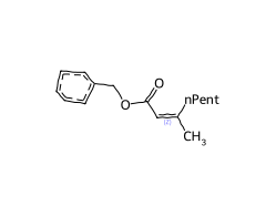 CCCCC/C(C)=C\C(=O)OCc1ccccc1